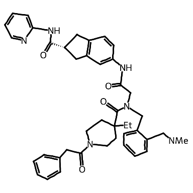 CCC1(C(=O)N(CC(=O)Nc2ccc3c(c2)C[C@H](C(=O)Nc2ccccn2)C3)Cc2ccccc2CNC)CCN(C(=O)Cc2ccccc2)CC1